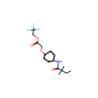 CCC(C)(C)C(=O)Nc1ccc(OCC(=O)OCC(F)(F)F)cc1